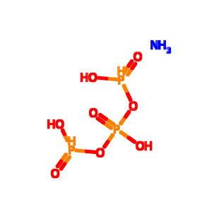 N.O=[PH](O)OP(=O)(O)O[PH](=O)O